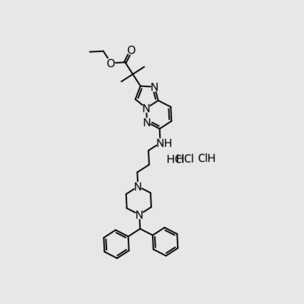 CCOC(=O)C(C)(C)c1cn2nc(NCCCN3CCN(C(c4ccccc4)c4ccccc4)CC3)ccc2n1.Cl.Cl.Cl